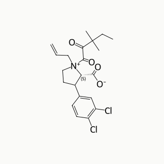 C=CC[N+]1(C(=O)C(=O)C(C)(C)CC)CCC(c2ccc(Cl)c(Cl)c2)[C@H]1C(=O)[O-]